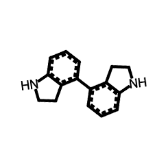 c1cc2c(c(-c3cccc4c3CCN4)c1)CCN2